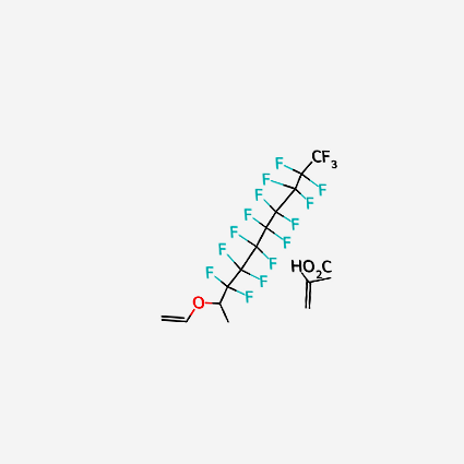 C=C(C)C(=O)O.C=COC(C)C(F)(F)C(F)(F)C(F)(F)C(F)(F)C(F)(F)C(F)(F)C(F)(F)C(F)(F)F